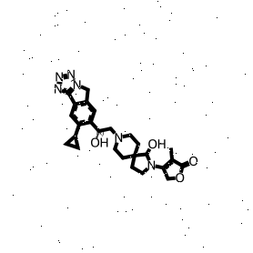 CC1=C(N2CCC3(CCN(C[C@H](O)c4cc5c(cc4C4CC4)-c4nnnn4C5)CC3)C2O)COC1=O